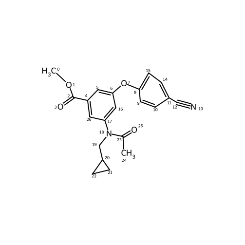 COC(=O)c1cc(Oc2ccc(C#N)cc2)cc(N(CC2CC2)C(C)=O)c1